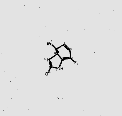 CC(C)c1ccc(F)c2[nH]c(Cl)nc12